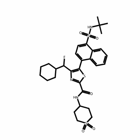 CC(C)(C)NS(=O)(=O)c1ccc(-c2sc(C(=O)NC3CCS(=O)(=O)CC3)nc2C(F)C2CCCCC2)c2ccccc12